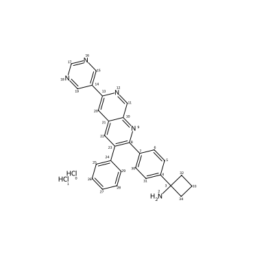 Cl.Cl.NC1(c2ccc(-c3nc4cnc(-c5cncnc5)cc4cc3-c3ccccc3)cc2)CCC1